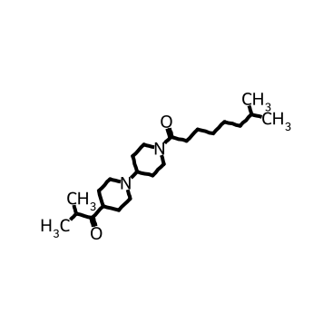 CC(C)CCCCCC(=O)N1CCC(N2CCC(C(=O)C(C)C)CC2)CC1